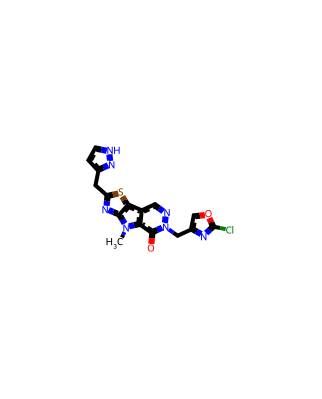 Cn1c2nc(Cc3cc[nH]n3)sc2c2cnn(Cc3coc(Cl)n3)c(=O)c21